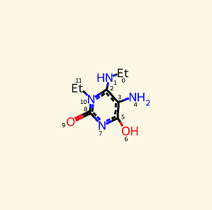 CCNc1c(N)c(O)nc(=O)n1CC